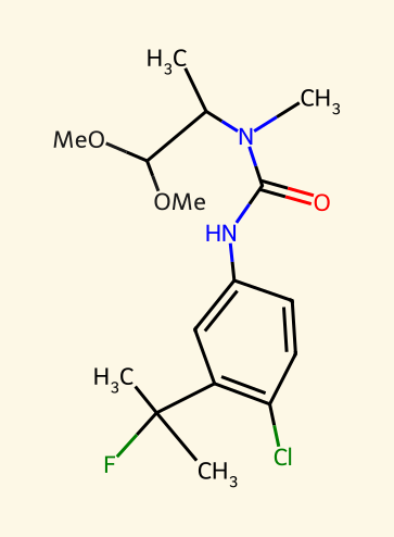 COC(OC)C(C)N(C)C(=O)Nc1ccc(Cl)c(C(C)(C)F)c1